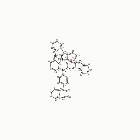 c1ccc2c(-c3ccc(N(c4ccc5oc6ccccc6c5c4)c4cccc5c4n4c6ccccc6c6c7ccccc7n5c64)cc3)cccc2c1